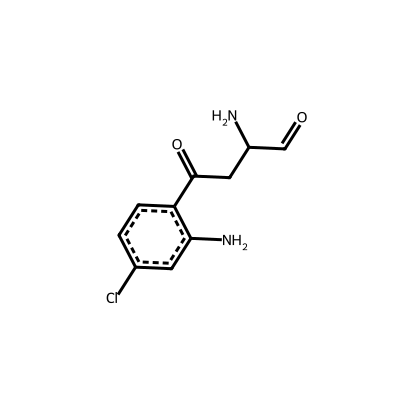 Nc1cc(Cl)ccc1C(=O)CC(N)C=O